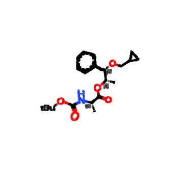 C[C@H](NC(=O)OC(C)(C)C)C(=O)O[C@@H](C)[C@@H](OCC1CC1)c1ccccc1